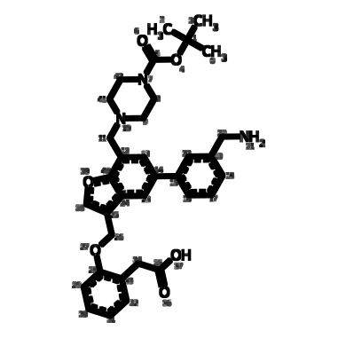 CC(C)(C)OC(=O)N1CCN(Cc2cc(-c3cccc(CN)c3)cc3c(COc4ccccc4CC(=O)O)coc23)CC1